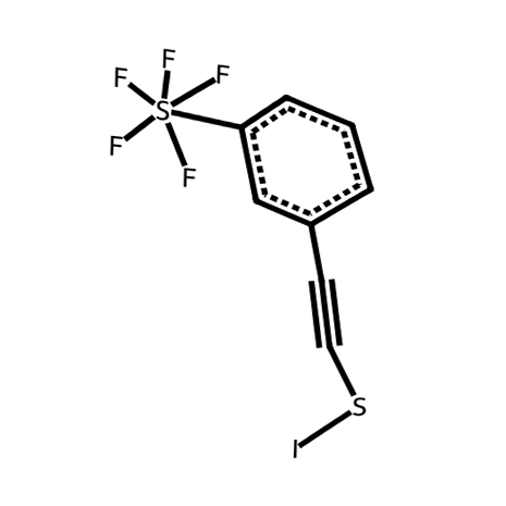 FS(F)(F)(F)(F)c1cccc(C#CSI)c1